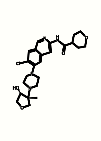 C[C@@]1(N2CCN(c3cc4cc(NC(=O)C5CCOCC5)ncc4cc3Cl)CC2)COC[C@@H]1O